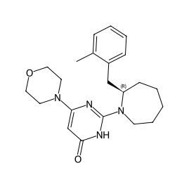 Cc1ccccc1C[C@H]1CCCCCN1c1nc(N2CCOCC2)cc(=O)[nH]1